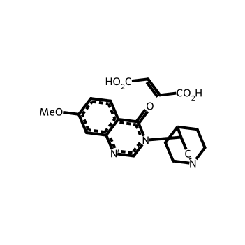 COc1ccc2c(=O)n(C3CN4CCC3CC4)cnc2c1.O=C(O)/C=C/C(=O)O